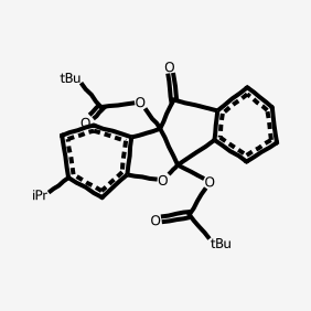 CC(C)c1ccc2c(c1)OC1(OC(=O)C(C)(C)C)c3ccccc3C(=O)C21OC(=O)C(C)(C)C